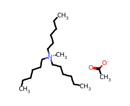 CC(=O)[O-].CCCCCC[N+](C)(CCCCCC)CCCCCC